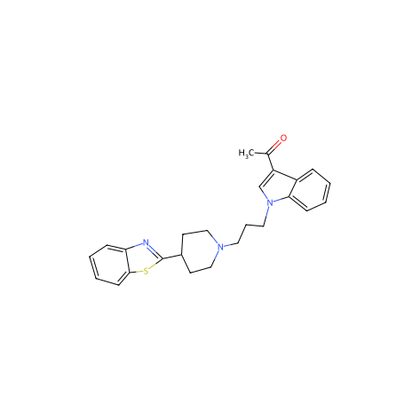 CC(=O)c1cn(CCCN2CCC(c3nc4ccccc4s3)CC2)c2ccccc12